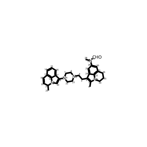 Cc1c(CCN2CCN(c3cn4c5c(cccc35)C=CC4C)CC2)c2cc(N(C)C=O)cc3c2n1CCC3